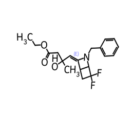 CCOC(=O)CC(C)(O)/C=C1\C2CC(F)(F)C2N1Cc1ccccc1